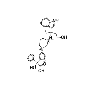 CCC(CCO)(c1c[nH]c2ccccc12)N(C)[C@@H]1CCC[C@@H](c2csc(C(O)(C(=O)O)c3cccs3)c2)C1